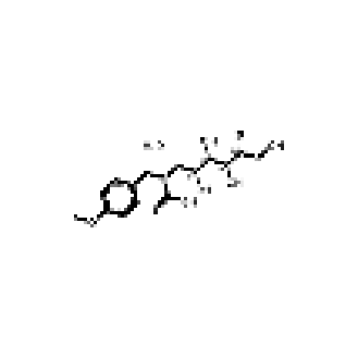 COc1ccc(CN(C[C@H](O)[C@@H](O)[C@H](O)[C@H](O)CO)C(=S)S)cc1.O